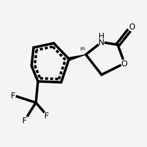 O=C1N[C@H](c2cccc(C(F)(F)F)c2)CO1